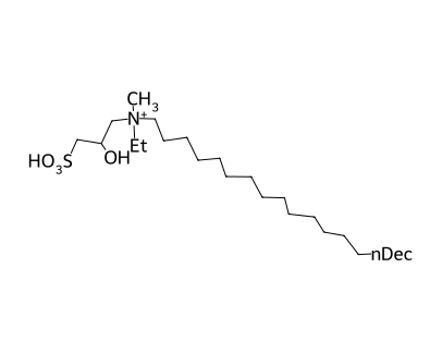 CCCCCCCCCCCCCCCCCCCCCCCC[N+](C)(CC)CC(O)CS(=O)(=O)O